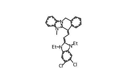 CCN1C(=CC=C2c3ccccc3Cn3c2[n+](C)c2ccccc23)N(CC)c2cc(Cl)c(Cl)cc21